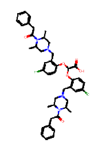 CC1CN(Cc2cc(Cl)ccc2OC(Oc2ccc(Cl)cc2CN2CC(C)N(C(=O)Cc3ccccc3)C(C)C2)C(=O)O)CC(C)N1C(=O)Cc1ccccc1